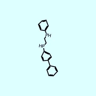 c1ccc(PCCPc2ccc(-c3ccccc3)cc2)cc1